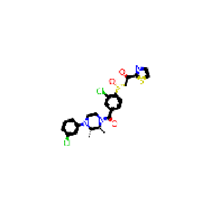 C[C@H]1[C@H](C)N(c2cccc(Cl)c2)CCN1C(=O)c1ccc([S+]([O-])CC(=O)c2nccs2)c(Cl)c1